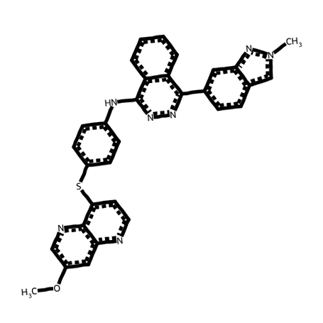 COc1cnc2c(Sc3ccc(Nc4nnc(-c5ccc6cn(C)nc6c5)c5ccccc45)cc3)ccnc2c1